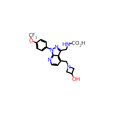 O=C(O)NCc1nn(-c2ccc(OC(F)(F)F)cc2)c2nccc(CN3CC(O)C3)c12